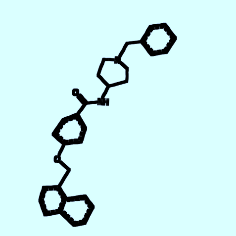 O=C(NC1CCN(Cc2ccccc2)CC1)c1ccc(OCc2cccc3ccccc23)cc1